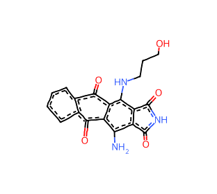 Nc1c2c(=O)[nH]c(=O)c2c(NCCCO)c2c(=O)c3ccccc3c(=O)c12